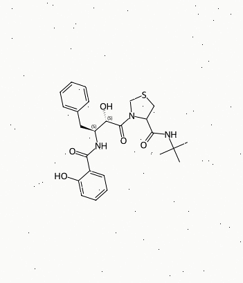 CC(C)(C)NC(=O)C1CSCN1C(=O)[C@@H](O)[C@H](Cc1ccccc1)NC(=O)c1ccccc1O